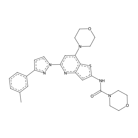 Cc1cccc(-c2ccn(-c3cc(N4CCOCC4)c4sc(NC(=O)N5CCOCC5)cc4n3)n2)c1